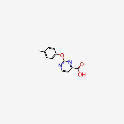 Cc1ccc(Oc2nccc(C(=O)O)n2)cc1